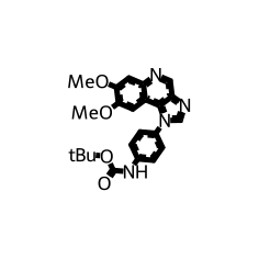 COc1cc2ncc3ncn(-c4ccc(NC(=O)OC(C)(C)C)cc4)c3c2cc1OC